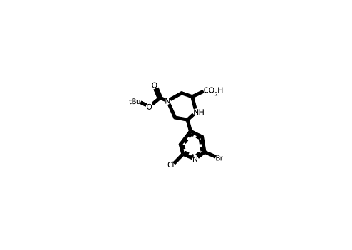 CC(C)(C)OC(=O)N1CC(C(=O)O)NC(c2cc(Cl)nc(Br)c2)C1